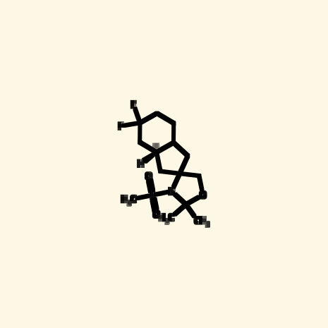 CC1(C)OCC2(CC3CCC(F)(F)C[C@H]3C2)N1S(C)(=O)=O